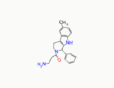 Cc1ccc2[nH]c3c(c2c1)CCN(C(=O)CCN)C3c1ccccc1